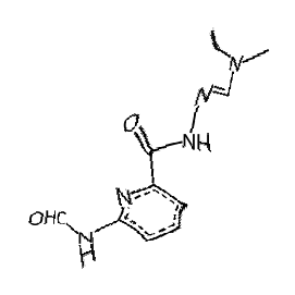 CN(C)/C=N/NC(=O)c1cccc(NC=O)n1